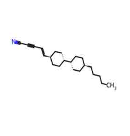 CCCCC[C@H]1CC[C@H]([C@H]2CC[C@H](C=CC#CC#N)CC2)CC1